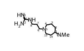 CNC1CCCN(CCCNC(=N)N)CC1